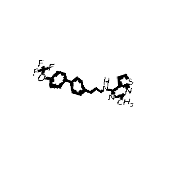 Cc1nc(NCCCc2ccc(-c3ccc(OC(F)(F)F)cc3)cc2)c2ccsc2n1